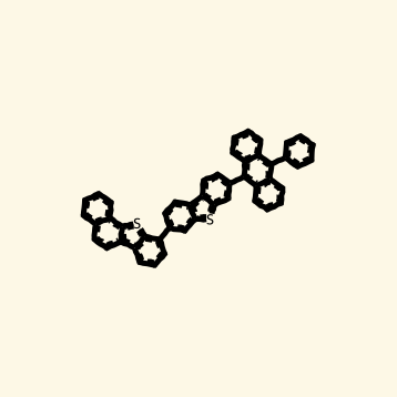 c1ccc(-c2c3ccccc3c(-c3ccc4c(c3)sc3cc(-c5cccc6c5sc5c7ccccc7ccc65)ccc34)c3ccccc23)cc1